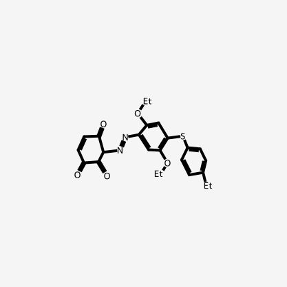 CCOc1cc(Sc2ccc(CC)cc2)c(OCC)cc1N=NC1C(=O)C=CC(=O)C1=O